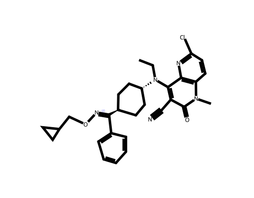 CCN(c1c(C#N)c(=O)n(C)c2ccc(Cl)nc12)[C@H]1CC[C@H](/C(=N/OCC2CC2)c2ccccc2)CC1